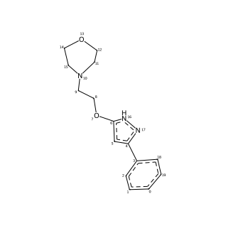 c1ccc(-c2cc(OCCN3CCOCC3)[nH]n2)cc1